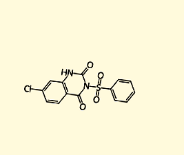 O=c1[nH]c2cc(Cl)ccc2c(=O)n1S(=O)(=O)c1ccccc1